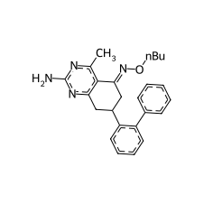 CCCCON=C1CC(c2ccccc2-c2ccccc2)Cc2nc(N)nc(C)c21